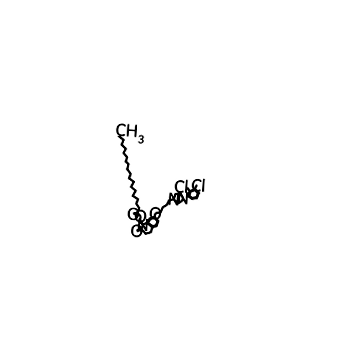 CCCCCCCCCCCCCCCCCCCC(=O)OCN1C(=O)CCc2ccc(OCCCCN3CCN(c4cccc(Cl)c4Cl)CC3)cc21